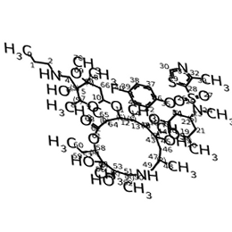 CCCNC[C@]1(O)[C@H](C)OC(O[C@H]2[C@H](C)[C@@H](O[C@@H]3O[C@H](C)C[C@H](N(C)S(=O)(=O)c4scnc4C)[C@H]3Oc3ccc(F)cc3)[C@](C)(O)C[C@@H](C)CN[C@H](C)[C@@H](O)[C@](C)(O)[C@@H](CC)OC(=O)[C@@H]2C)C[C@@]1(C)OC